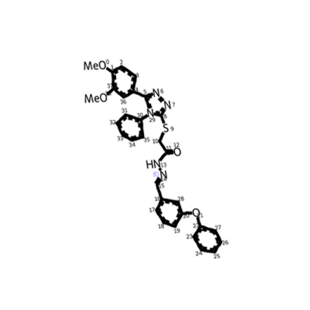 COc1ccc(-c2nnc(SCC(=O)N/N=C/c3cccc(Oc4ccccc4)c3)n2-c2ccccc2)cc1OC